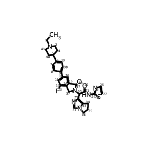 CCN1CCC(c2ccc(-c3cc(F)c4c(c3)C(=O)N(C(C(=O)Nc3nccs3)c3ncn5c3CCC5)C4)cc2)CC1